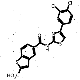 O=C(Nc1nc(-c2ccc(Cl)c(Cl)c2)cs1)c1ccc2sc(C(=O)O)cc2c1